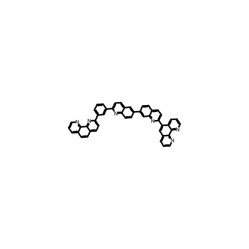 c1cc(-c2ccc3cc(-c4ccc5ccc(-c6cc7cccnc7c7ncccc67)nc5c4)ccc3n2)cc(-c2ccc3ccc4cccnc4c3n2)c1